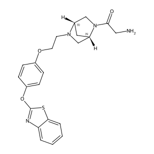 NCC(=O)N1C[C@@H]2C[C@H]1CN2CCOc1ccc(Oc2nc3ccccc3s2)cc1